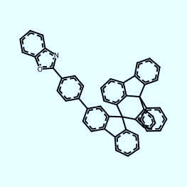 c1ccc(C23c4ccccc4-c4cccc(c42)C2(c4ccccc4-c4ccc(-c5ccc(-c6nc7ccccc7o6)cc5)cc42)c2ccccc23)cc1